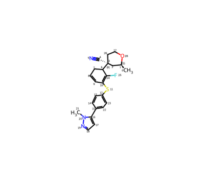 C[C@H]1C[C@@](C#N)(C2CC=CC(Sc3ccc(-c4ccnn4C)cc3)=C2F)CCO1